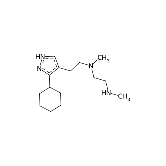 CNCCN(C)CCc1c[nH]nc1C1CCCCC1